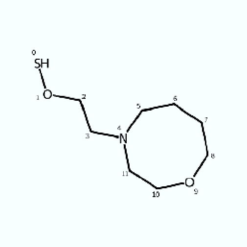 SOCCN1CCCCOCC1